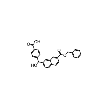 O=C(O)c1ccc(C(O)c2ccc3ccc(C(=O)OCc4ccccc4)cc3c2)cc1